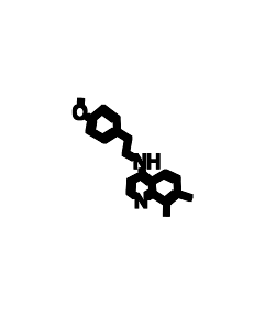 COc1ccc(CCNc2ccnc3c(C)c(C)ccc23)cc1